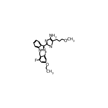 CCOc1cc(F)c(Cn2nc(-c3ncc(CCCOC)c(N)n3)c3ccccc32)c(F)c1